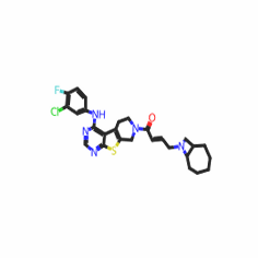 O=C(/C=C/CN1CC2CCCCCC21)N1CCc2c(sc3ncnc(Nc4ccc(F)c(Cl)c4)c23)C1